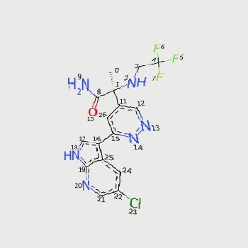 C[C@@](NCC(F)(F)F)(C(N)=O)c1cnnc(-c2c[nH]c3ncc(Cl)cc23)c1